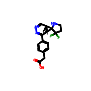 CC12C=NN=C(c3ccc(CC(=O)O)cc3)C1C21NCCC1(F)F